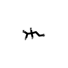 FC(F)C(F)(F)CC[S]